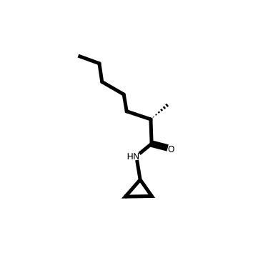 CCCCC[C@H](C)C(=O)NC1CC1